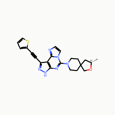 C[C@H]1CC2(CCN(c3nc4[nH]nc(C#Cc5cccs5)c4c4nccn34)CC2)CO1